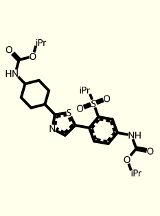 CC(C)OC(=O)Nc1ccc(-c2cnc(C3CCC(NC(=O)OC(C)C)CC3)s2)c(S(=O)(=O)C(C)C)c1